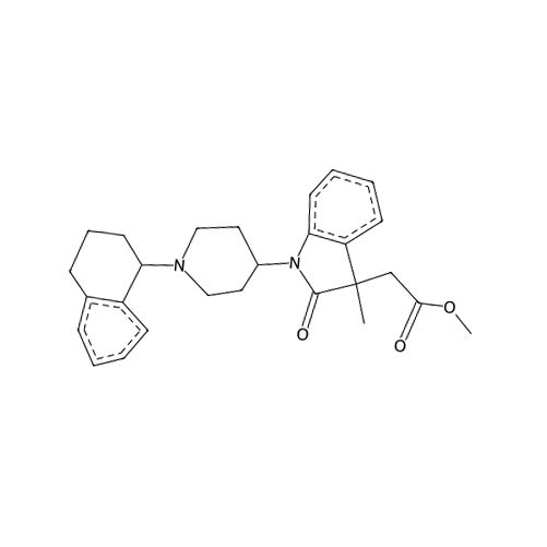 COC(=O)CC1(C)C(=O)N(C2CCN(C3CCCc4ccccc43)CC2)c2ccccc21